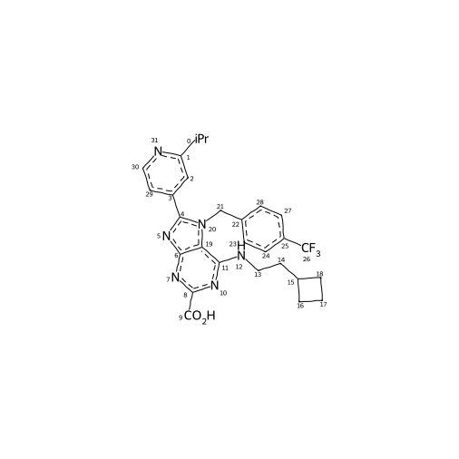 CC(C)c1cc(-c2nc3nc(C(=O)O)nc(NCCC4CCC4)c3n2Cc2ccc(C(F)(F)F)cc2)ccn1